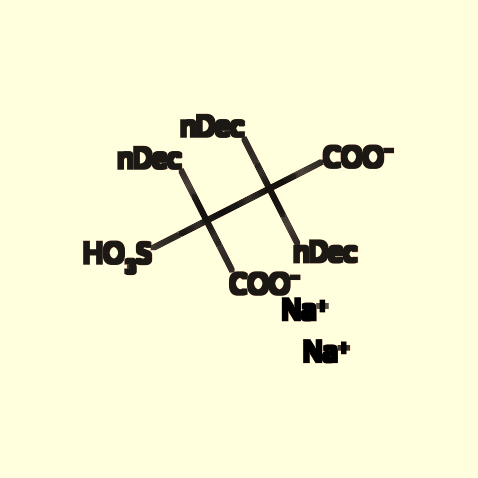 CCCCCCCCCCC(CCCCCCCCCC)(C(=O)[O-])C(CCCCCCCCCC)(C(=O)[O-])S(=O)(=O)O.[Na+].[Na+]